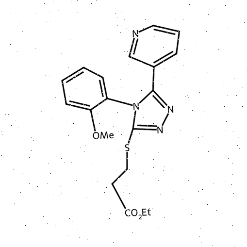 CCOC(=O)CCSc1nnc(-c2cccnc2)n1-c1ccccc1OC